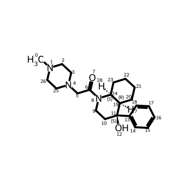 CN1CCN(CC(=O)N2CC[C@@](O)(c3ccccc3)[C@@H]3CCCC[C@@H]32)CC1